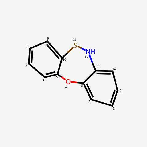 c1ccc2oc3ccccc3s[nH]c2c1